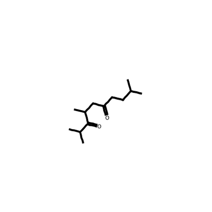 CC(C)CCC(=O)CC(C)C(=O)C(C)C